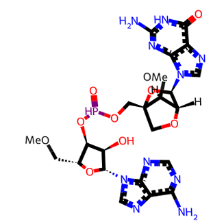 COC[C@H]1O[C@@H](n2cnc3c(N)ncnc32)[C@H](O)[C@@H]1O[PH](=O)OC[C@@]12CO[C@@H]([C@H](n3cnc4c(=O)[nH]c(N)nc43)O1)[C@@H]2OC